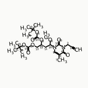 C#CCn1c(=O)c(C)cn(C(C[C@@H](COC(=O)OC(C)(C)C)OC(=O)OC(C)(C)C)OC)c1=O